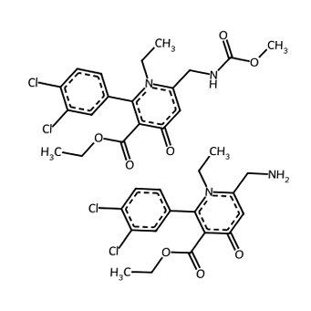 CCOC(=O)c1c(-c2ccc(Cl)c(Cl)c2)n(CC)c(CN)cc1=O.CCOC(=O)c1c(-c2ccc(Cl)c(Cl)c2)n(CC)c(CNC(=O)OC)cc1=O